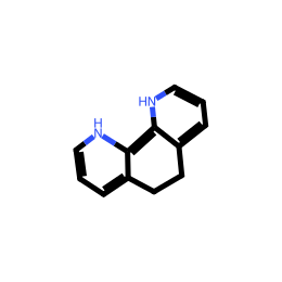 C1=CNC2=C3NC=CC=C3CCC2=C1